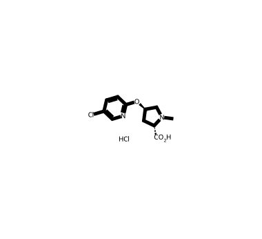 CN1C[C@H](Oc2ccc(Cl)cn2)C[C@H]1C(=O)O.Cl